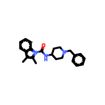 Cc1c(C)n(C(=O)NC2CCN(Cc3ccccc3)CC2)c2[c]cccc12